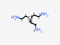 NC[CH2][GeH]([CH2]CN)[CH2]CN